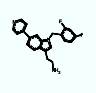 NCCc1cn(Cc2ccc(F)cc2F)c2cc(-c3ccncc3)ccc12